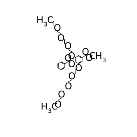 CCCOCCOCCOCCOc1cc(C(=O)OC)cc(OCCOCCOCCOCCOC)c1OC(=O)c1ccccc1